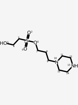 O=S(=O)(CCO)OCCCN1CCNCC1